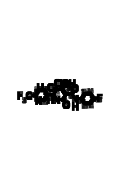 CC1(C)C(O)=C(C(=O)Nc2ccc(F)cc2)C(=O)NC1c1ccc(C(F)(F)F)nc1